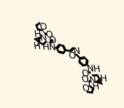 O=C(Nc1ccc(-c2cnc(-c3ccc(NC(=O)[C@@H]4C[C@@H]5C[C@@H]5N4C(=O)[C@H]4CCCO4)cc3)o2)cc1)[C@@H]1C[C@@H]2C[C@@H]2N1C(=O)[C@H]1CCCO1